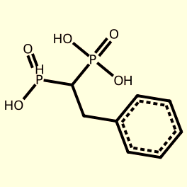 O=[PH](O)C(Cc1ccccc1)P(=O)(O)O